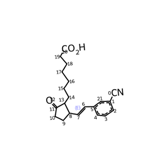 N#Cc1cccc(/C=C/C2CCC(=O)C2CCCCCCC(=O)O)c1